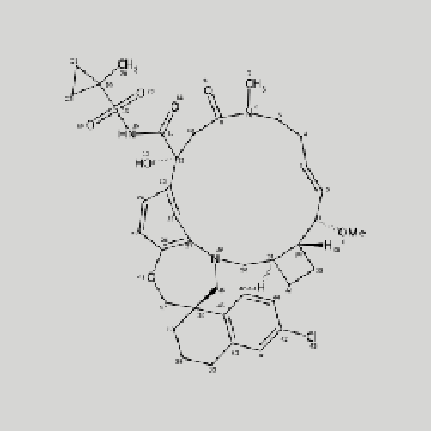 CO[C@H]1/C=C/CCN(C)C(=O)C[C@](O)(C(=O)NS(=O)(=O)C2(C)CC2)c2ccc3c(c2)N(C[C@@H]2CC[C@H]21)C[C@@]1(CCCc2cc(Cl)ccc21)CO3